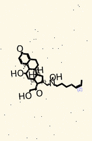 C/C=C\CCCCN(O)C[C@@H]1C[C@H]2[C@@H]3CCC4=CC(=O)C=C[C@]4(C)C3C(O)C[C@]2(C)C1C(=O)CO